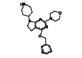 c1cncc(COc2nc(N3CCOCC3)nc3c2CCN3C2CCNCC2)c1